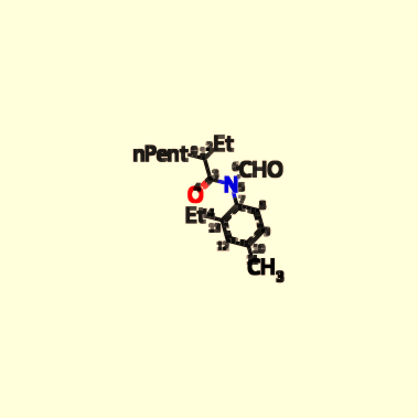 CCCCCC(CC)C(=O)N(C=O)c1ccc(C)cc1CC